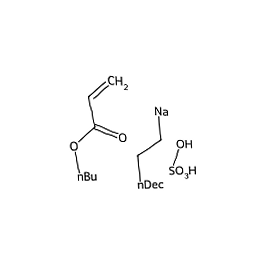 C=CC(=O)OCCCC.CCCCCCCCCCC[CH2][Na].O=S(=O)(O)O